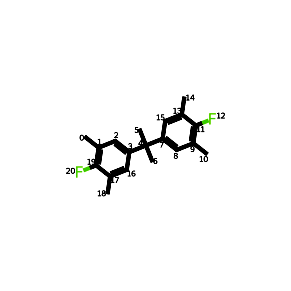 Cc1cc(C(C)(C)c2cc(C)c(F)c(C)c2)cc(C)c1F